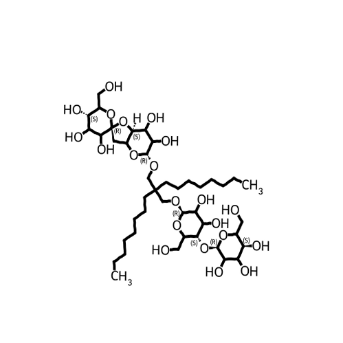 CCCCCCCCC(CCCCCCCC)(CO[C@@H]1OC(CO)[C@@H](O[C@H]2OC(CO)[C@@H](O)C(O)C2O)C(O)C1O)CO[C@@H]1OC2C[C@@]3(OC(CO)[C@@H](O)C(O)C3O)O[C@H]2C(O)C1O